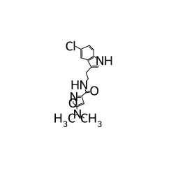 CN(C)c1cc(C(=O)NCCc2c[nH]c3ccc(Cl)cc23)no1